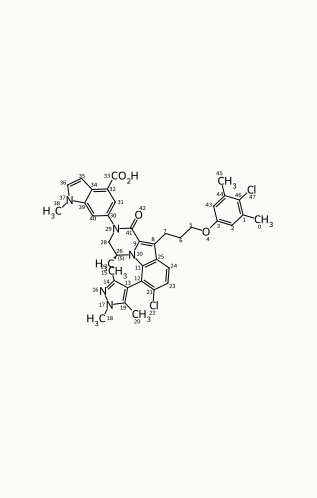 Cc1cc(OCCCc2c3n(c4c(-c5c(C)nn(C)c5C)c(Cl)ccc24)[C@@H](C)CN(c2cc(C(=O)O)c4ccn(C)c4c2)C3=O)cc(C)c1Cl